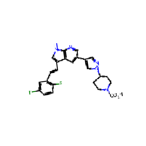 O=C(O)N1CCC(n2cc(-c3cnc4[nH]cc(C=Cc5cc(F)ccc5F)c4c3)cn2)CC1